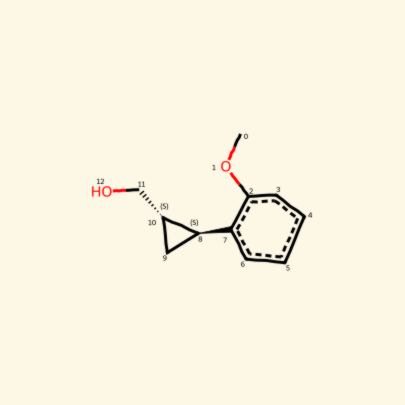 COc1ccccc1[C@H]1C[C@@H]1CO